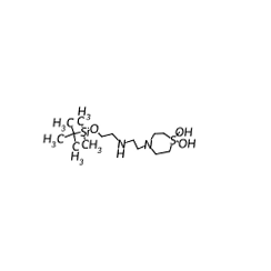 CC(C)(C)[Si](C)(C)OCCNCCN1CCS(O)(O)CC1